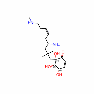 CNCC/C=C\CC(N)CC(C)(C)C[C@]1(O)C(=O)C=C[C@H](O)[C@H]1O